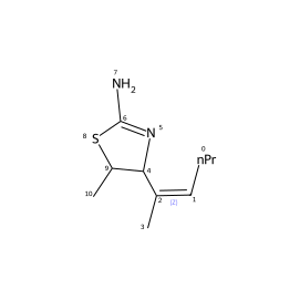 CCC/C=C(/C)C1N=C(N)SC1C